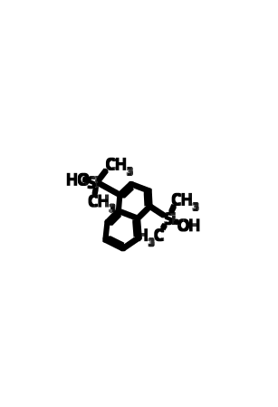 C[Si](C)(O)c1ccc([Si](C)(C)O)c2ccccc12